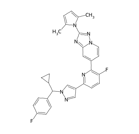 Cc1ccc(C)n1-c1nc2cc(-c3nc(-c4cnn(C(c5ccc(F)cc5)C5CC5)c4)ccc3F)ccn2n1